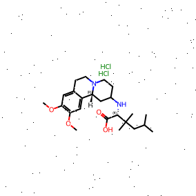 COc1cc2c(cc1OC)[C@H]1CC(N[C@@H](C(=O)O)C(C)(C)CC(C)C)CCN1CC2.Cl.Cl